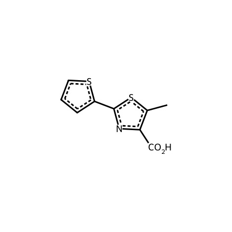 Cc1sc(-c2cccs2)nc1C(=O)O